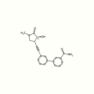 CN1CC(C#Cc2cccc(-c3cccc(C(N)=O)c3)c2)[C@H](O)C1=O